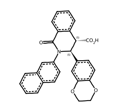 O=C(O)[C@H]1c2ccccc2C(=O)N(c2ccc3ccccc3c2)[C@@H]1c1ccc2c(c1)OCCO2